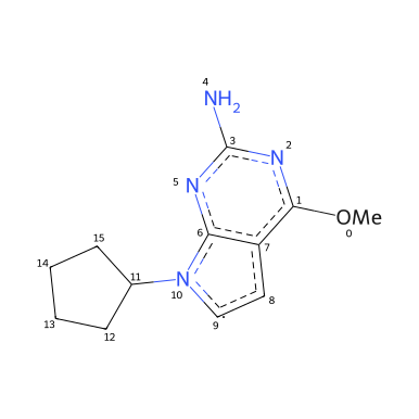 COc1nc(N)nc2c1c[c]n2C1CCCC1